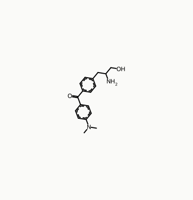 CN(C)c1ccc(C(=O)c2ccc(CC(N)CO)cc2)cc1